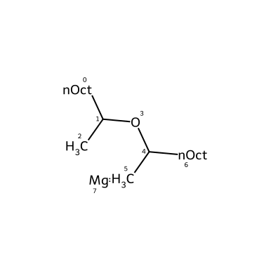 CCCCCCCCC(C)OC(C)CCCCCCCC.[Mg]